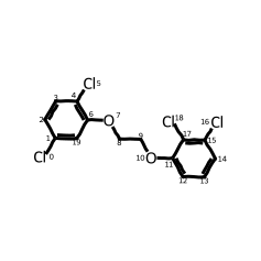 Clc1ccc(Cl)c(OCCOc2cccc(Cl)c2Cl)c1